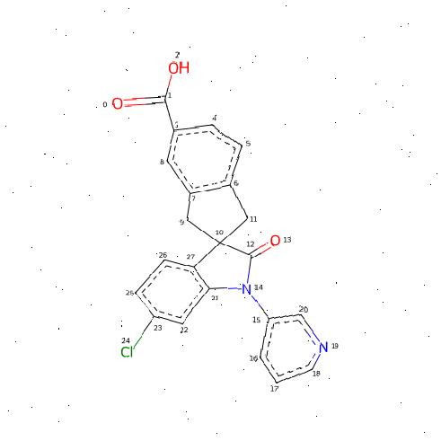 O=C(O)c1ccc2c(c1)CC1(C2)C(=O)N(c2cccnc2)c2cc(Cl)ccc21